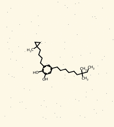 CCC(C)(C)CCCCCCc1cc(O)c(O)c(CCCCC2(C)CC2)c1